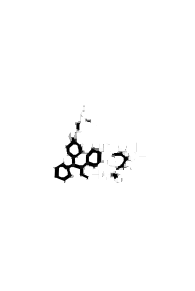 CC/C(=C(\c1ccccc1)c1ccc(OCCN(C)C)cc1)c1ccccc1.O=C(O)[C@H]1OC(O)[C@H](O)[C@@H](O)[C@@H]1O